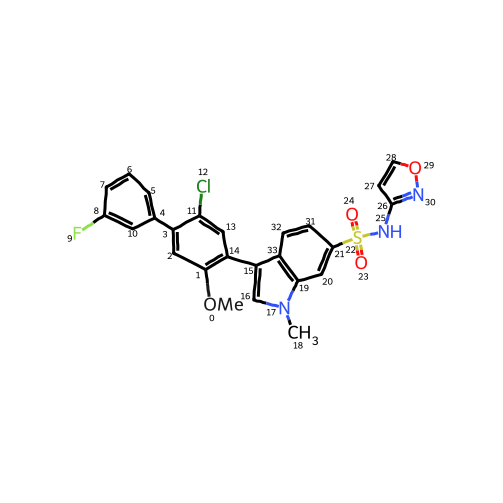 COc1cc(-c2cccc(F)c2)c(Cl)cc1-c1cn(C)c2cc(S(=O)(=O)Nc3ccon3)ccc12